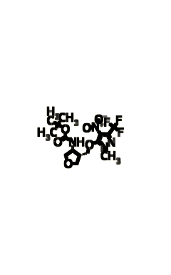 Cn1nc(C(F)(F)F)c([N+](=O)[O-])c1OC[C@@H]1COC[C@H]1NC(=O)OC(C)(C)C